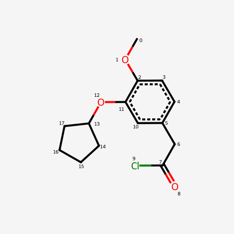 COc1ccc(CC(=O)Cl)cc1OC1CCCC1